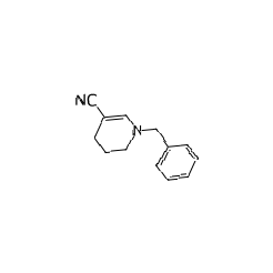 N#CC1=CN(Cc2ccccc2)CCC1